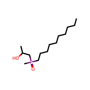 CCCCCCCCCCP(C)(=O)CC(C)O